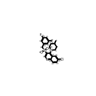 CC1CCN(c2c(S(=O)(=O)Cc3cc(F)cc(F)c3)cnc3ccc(Cl)cc23)CC1